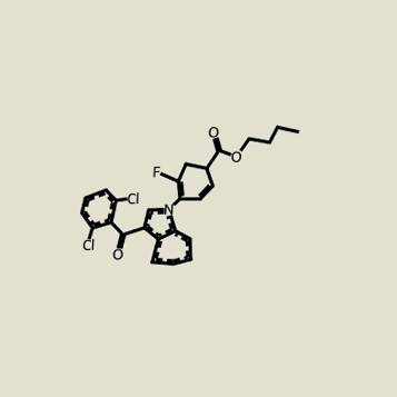 CCCCOC(=O)C1C=CC(n2cc(C(=O)c3c(Cl)cccc3Cl)c3ccccc32)=C(F)C1